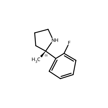 C[C@@]1(c2ccccc2F)CCCN1